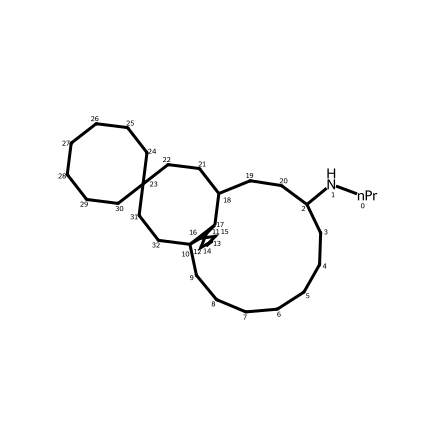 CCCNC1CCCCCCCC23CCCCCCC2C(CC1)CCC1(CCCCCCC1)CC3